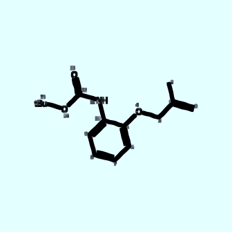 C=C(C)COc1ccccc1NC(=O)OC(C)(C)C